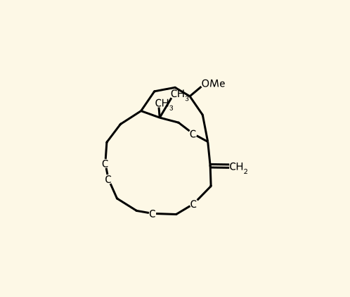 C=C1CCCCCCCCCCC2CCC(OC)CC1CCC2(C)C